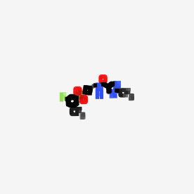 O=C(NC[C@H]1C[C@H](S(=O)(=O)c2cc(F)cc(C(F)(F)F)c2)C1)c1cnc(C(F)(F)F)nc1